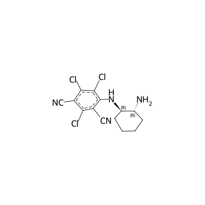 N#Cc1c(Cl)c(Cl)c(N[C@@H]2CCCC[C@H]2N)c(C#N)c1Cl